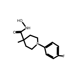 CC1(C(=O)NO)CCN(c2ccc(F)cc2)CC1